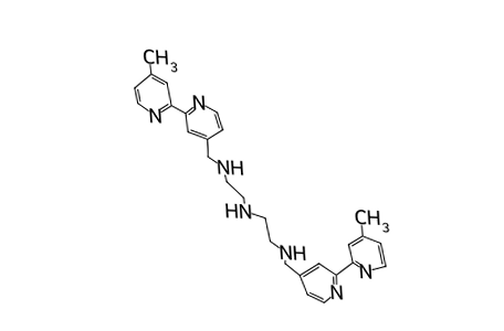 Cc1ccnc(-c2cc(CNCCNCCNCc3ccnc(-c4cc(C)ccn4)c3)ccn2)c1